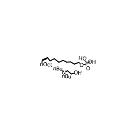 CCCCCCCC/C=C\CCCCCCCCOP(=O)(O)O.CCCCN(CCO)CCCC